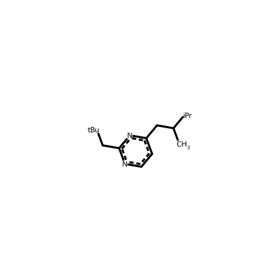 CC(C)C(C)Cc1ccnc(CC(C)(C)C)n1